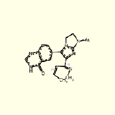 C/C=C\C(=N/C)c1nc2n(c1-c1ccc3nc[nH]c(=O)c3c1)CCN2C(C)=O